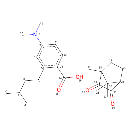 CC(C)CCc1cc(N(C)C)ccc1C(=O)O.CC12CCC(C(=O)C1=O)C2(C)C